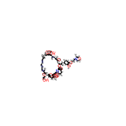 CO[C@@H]1C[C@H](C[C@@H](C)[C@@H]2CC(=O)[C@H](C)/C=C(\C)[C@@H](O)[C@@H](OC)C(=O)[C@H](C)C[C@H](C)/C=C/C=C/C=C(\C)[C@@H](OCCO)C[C@@H]3CC[C@@H](C)[C@@](O)(O3)C(=O)C(=O)N3CCCC[C@H]3C(=O)O2)CC[C@H]1OCCCN1CCOC[C@@H]1C